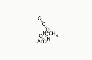 N#N.O=C=O.O=O.[14CH4].[Ar]